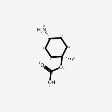 C[C@]1(OC(=O)O)CC[C@H](N)CC1